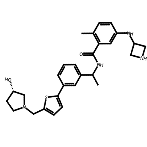 Cc1ccc(NC2CNC2)cc1C(=O)NC(C)c1cccc(-c2ccc(CN3CC[C@H](O)C3)s2)c1